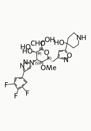 CO[C@@H]1[C@@H](n2cc(-c3cc(F)c(F)c(F)c3)nn2)[C@@H](O)[C@@H](CO)O[C@@H]1Cc1cc(C2(O)CCNCC2)on1.O=CO